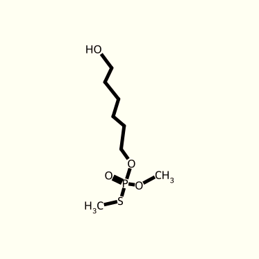 COP(=O)(OCCCCCCO)SC